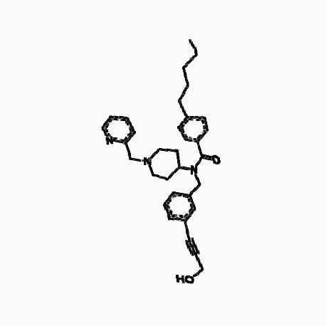 CCCCCc1ccc(C(=O)N(Cc2cccc(C#CCO)c2)C2CCN(Cc3ccccn3)CC2)cc1